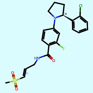 CS(=O)(=O)/C=C/CNC(=O)c1ccc(N2CCC[C@H]2c2ccccc2Cl)cc1F